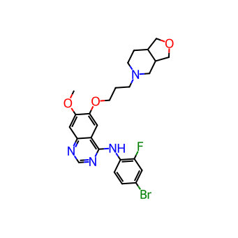 COc1cc2ncnc(Nc3ccc(Br)cc3F)c2cc1OCCCN1CCC2COCC2C1